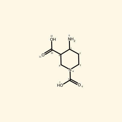 NC1CCN(C(=O)O)CC1C(=O)O